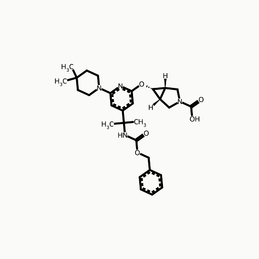 CC1(C)CCN(c2cc(C(C)(C)NC(=O)OCc3ccccc3)cc(O[C@@H]3[C@@H]4CN(C(=O)O)C[C@@H]43)n2)CC1